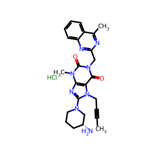 CC#CCn1c(N2CCC[C@@H](N)C2)nc2c1c(=O)n(Cc1nc(C)c3ccccc3n1)c(=O)n2C.Cl